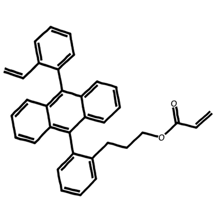 C=CC(=O)OCCCc1ccccc1-c1c2ccccc2c(-c2ccccc2C=C)c2ccccc12